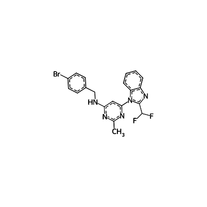 Cc1nc(NCc2ccc(Br)cc2)cc(-n2c(C(F)F)nc3ccccc32)n1